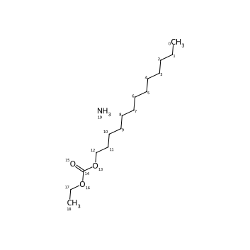 CCCCCCCCCCCCCOC(=O)OCC.N